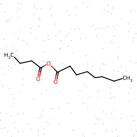 CCCCCCCC(=O)OC(=O)CCC